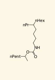 CCCCCCC(CCC)CCCCNC(=O)OC(C)CCCCC